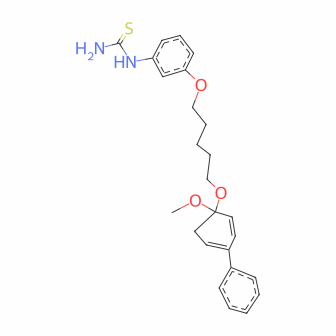 COC1(OCCCCCOc2cccc(NC(N)=S)c2)C=CC(c2ccccc2)=CC1